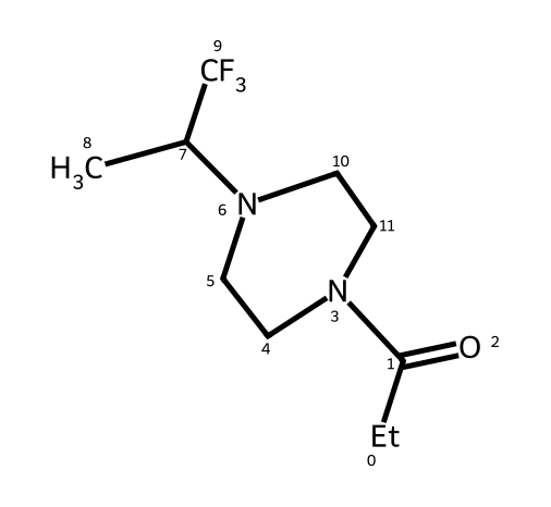 CCC(=O)N1CCN(C(C)C(F)(F)F)CC1